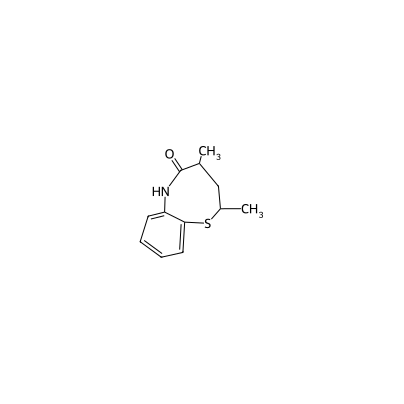 CC1CC(C)C(=O)Nc2ccccc2S1